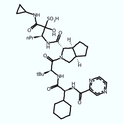 CCC[C@H](NC(=O)[C@@H]1[C@H]2CCC[C@H]2CN1C(=O)[C@@H](NC(=O)[C@@H](NC(=O)c1cnccn1)C1CCCCC1)C(C)(C)C)C(O)(C(=O)NC1CC1)S(=O)(=O)O